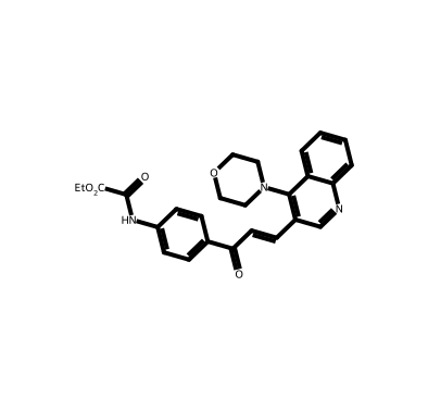 CCOC(=O)C(=O)Nc1ccc(C(=O)C=Cc2cnc3ccccc3c2N2CCOCC2)cc1